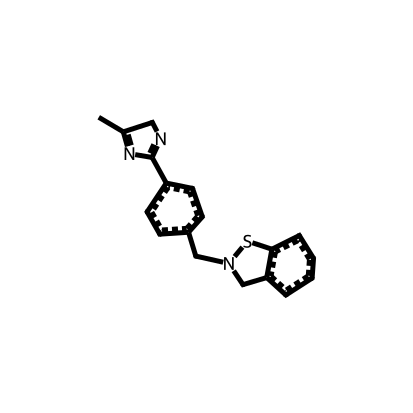 CC1=NC(c2ccc(CN3Cc4ccccc4S3)cc2)=NC1